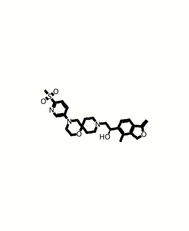 C=C1OCc2c1ccc([C@@H](O)CN1CCC3(CC1)CN(c1ccc(S(C)(=O)=O)nc1)CCO3)c2C